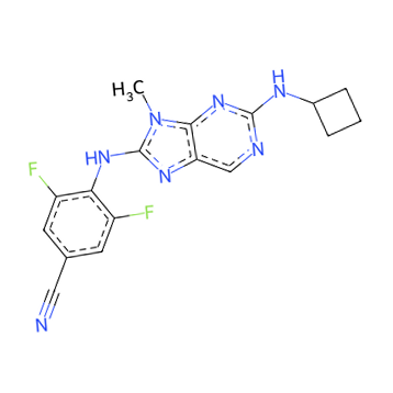 Cn1c(Nc2c(F)cc(C#N)cc2F)nc2cnc(NC3CCC3)nc21